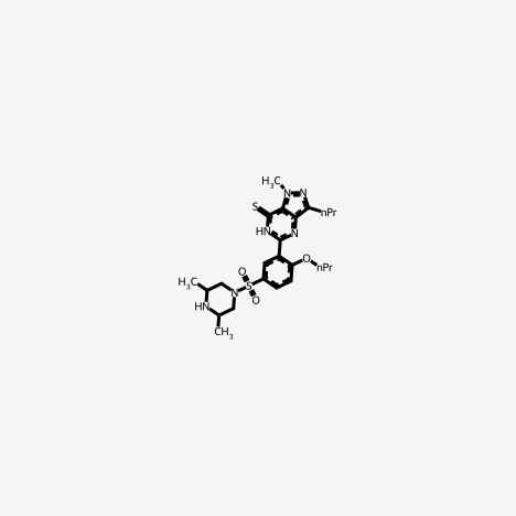 CCCOc1ccc(S(=O)(=O)N2CC(C)NC(C)C2)cc1-c1nc2c(CCC)nn(C)c2c(=S)[nH]1